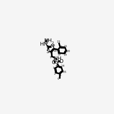 Cc1ccc(S(=O)(=O)NCc2sc(NN)nc2-c2ccccc2C)cc1